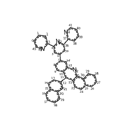 c1ccc(-c2cc(-c3ccc4c(-c5ccc6ccccc6c5)c5ccc6ccccc6c5nc4c3)cc(-c3ccccn3)n2)nc1